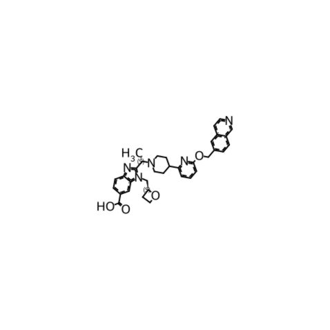 C[C@@H](c1nc2ccc(C(=O)O)cc2n1C[C@@H]1CCO1)N1CCC(c2cccc(OCc3ccc4cnccc4c3)n2)CC1